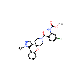 Cn1ncc2c1-c1ccccc1OC21CCN(C(=O)c2ccc(Cl)cc2NC(=O)OC(C)(C)C)CC1